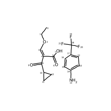 CCOC=C(C(=O)O)C(=O)C1CC1.Nc1ccc(C(F)(F)F)cc1